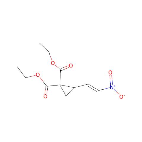 CCOC(=O)C1(C(=O)OCC)CC1/C=C/[N+](=O)[O-]